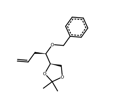 C=CC[C@@H](OCc1ccccc1)[C@H]1COC(C)(C)O1